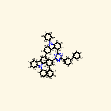 c1ccc(-c2cccc(-c3nc(-c4cccc(-c5ccccc5)c4)nc(-c4cccc5c4c4cc(-c6ccc7c(c6)c6ccccc6n7-c6ccccc6)ccc4n5-c4ccccc4)n3)c2)cc1